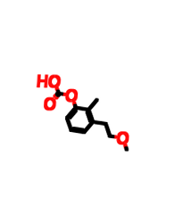 COCCc1cccc(OC(=O)O)c1C